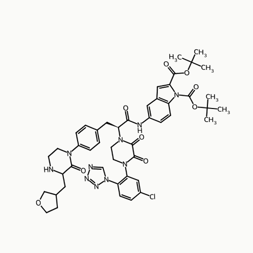 CC(C)(C)OC(=O)c1cc2cc(NC(=O)[C@H](Cc3ccc(N4CCNC(CC5CCOC5)C4=O)cc3)N3CCN(c4cc(Cl)ccc4-n4cnnn4)C(=O)C3=O)ccc2n1C(=O)OC(C)(C)C